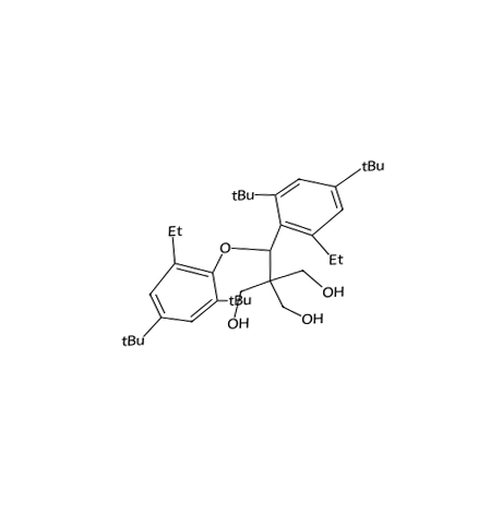 CCc1cc(C(C)(C)C)cc(C(C)(C)C)c1OC(c1c(CC)cc(C(C)(C)C)cc1C(C)(C)C)C(CO)(CO)CO